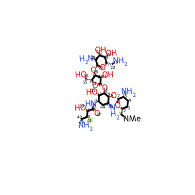 CNC[C@@H]1CC[C@@H](N)[C@@H](O[C@H]2[C@H](O[C@@H]3O[C@H](CO)[C@@H](O[C@H]4O[C@@H](CN)[C@@H](O)[C@H](O)[C@H]4N)[C@H]3O)[C@@H](O)[C@H](NC(=O)[C@@H](O)[C@H](F)CN)C[C@@H]2N)O1